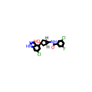 O=C(NC1[C@H]2C[C@](O)(c3cc(Cl)cc4[nH]ncc34)C[C@@H]12)c1cc(F)cc(Cl)c1